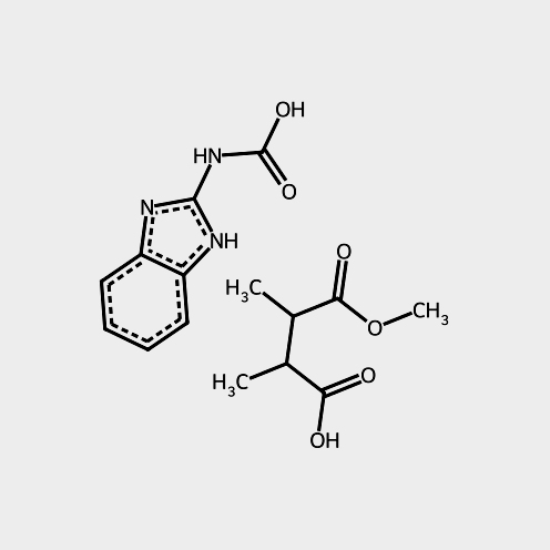 COC(=O)C(C)C(C)C(=O)O.O=C(O)Nc1nc2ccccc2[nH]1